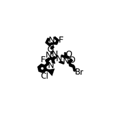 O=C(/C=C/CBr)N1CCN(c2nc(OC[C@@]34CCCN3C[C@H](F)C4)nc3c(F)c(-c4cccc(Cl)c4C4CC4)ncc23)CC12COC2